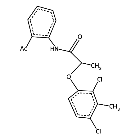 CC(=O)c1ccccc1NC(=O)C(C)Oc1ccc(Cl)c(C)c1Cl